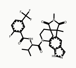 CC(C)[C@@H](NC(=O)c1cc(C(F)(F)F)ccc1F)C(=O)N1CCC2(CC1)C(=O)N(C)C(=O)C2(C)c1ccc2[nH]ncc2c1